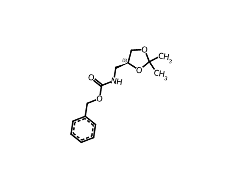 CC1(C)OC[C@H](CNC(=O)OCc2ccccc2)O1